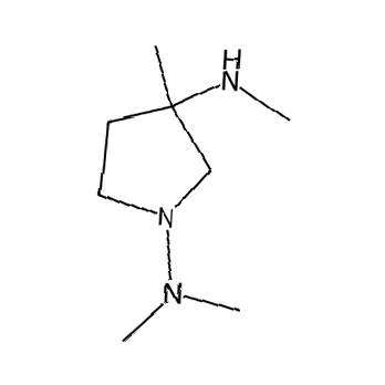 CNC1(C)CCN(N(C)C)C1